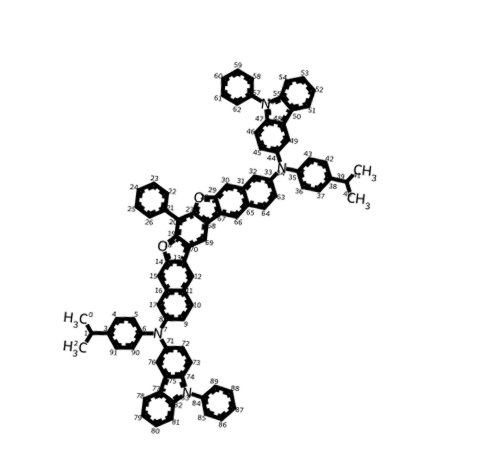 CC(C)c1ccc(N(c2ccc3cc4c(cc3c2)oc2c(-c3ccccc3)c3oc5cc6cc(N(c7ccc(C(C)C)cc7)c7ccc8c(c7)c7ccccc7n8-c7ccccc7)ccc6cc5c3cc24)c2ccc3c(c2)c2ccccc2n3-c2ccccc2)cc1